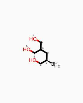 B[C@@H](CO)CC(CO)CO